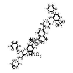 CS(=O)(=O)c1ccc(-c2ccccc2)c(CN2CCN(c3ccc4c(NS(=O)(=O)c5ccc(NC(CCN6CCOCC6)CSc6ccccc6)c([N+](=O)[O-])c5)ncnc4c3)CC2)c1